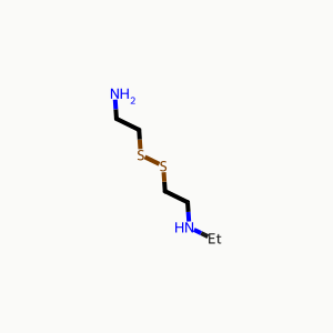 CCNCCSSCCN